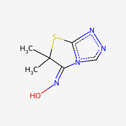 CC1(C)Sc2nncn2/C1=N/O